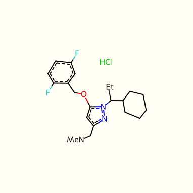 CCC(C1CCCCC1)n1nc(CNC)cc1OCc1cc(F)ccc1F.Cl